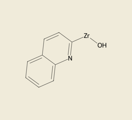 [OH][Zr][c]1ccc2ccccc2n1